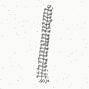 O=S(=O)(O)C(F)(F)C(F)(F)C(F)(F)C(F)(F)C(F)(F)C(F)(F)C(F)(F)C(F)(F)C(F)(F)C(F)(F)C(F)(F)C(F)(F)C(F)(F)C(F)(F)C(F)(F)C(F)(F)C(F)(F)C(F)(F)C(F)(F)C(F)(F)C(F)(F)F